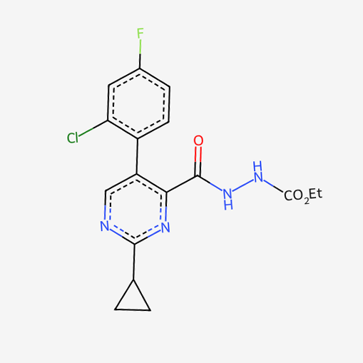 CCOC(=O)NNC(=O)c1nc(C2CC2)ncc1-c1ccc(F)cc1Cl